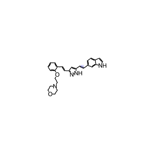 C(=Cc1ccccc1OCCN1CCOCC1)c1cc(/C=C/c2ccc3cc[nH]c3c2)[nH]n1